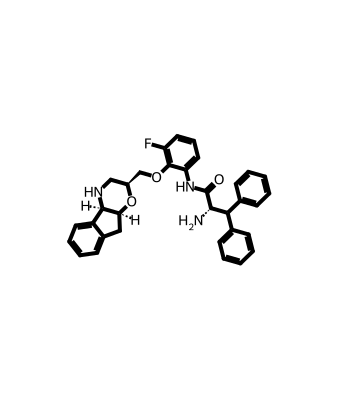 N[C@H](C(=O)Nc1cccc(F)c1OC[C@@H]1CN[C@@H]2c3ccccc3C[C@@H]2O1)C(c1ccccc1)c1ccccc1